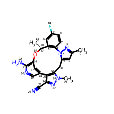 Cc1cc2n(n1)-c1ccc(F)cc1[C@@H](C)Oc1cc(cnc1N)-c1c(C#N)nn(C)c1C2